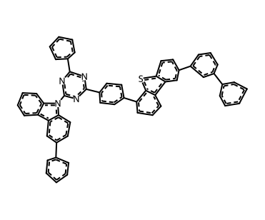 c1ccc(-c2cccc(-c3ccc4sc5c(-c6ccc(-c7nc(-c8ccccc8)nc(-n8c9ccccc9c9cc(-c%10ccccc%10)ccc98)n7)cc6)cccc5c4c3)c2)cc1